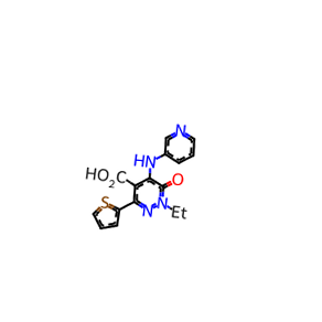 CCn1nc(-c2cccs2)c(C(=O)O)c(Nc2cccnc2)c1=O